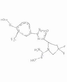 CCCCCCCCOc1ccc(-c2noc(C3CC(F)(F)CN3/C(N)=N/O)n2)cc1C(F)(F)F